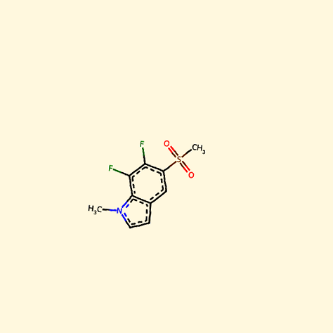 Cn1ccc2cc(S(C)(=O)=O)c(F)c(F)c21